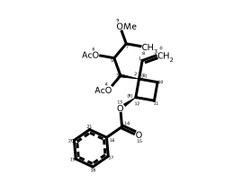 C=C[C@]1(C(OC(C)=O)C(OC(C)=O)C(C)OC)CC[C@H]1OC(=O)c1ccccc1